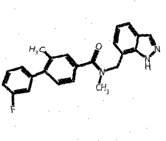 Cc1cc(C(=O)N(C)Cc2cccc3cn[nH]c23)ccc1-c1cccc(F)c1